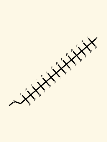 CSCC(F)(F)C(F)(F)C(F)(F)C(F)(F)C(F)(F)C(F)(F)C(F)(F)C(F)(F)C(F)(F)C(F)(F)C(F)(F)C(F)(F)C(F)(F)C(F)(F)F